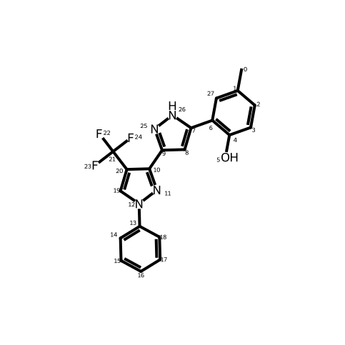 Cc1ccc(O)c(-c2cc(-c3nn(-c4ccccc4)cc3C(F)(F)F)n[nH]2)c1